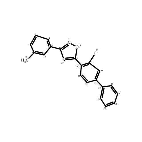 Cc1cccc(-c2noc(-c3ccc(-c4ccccc4)cc3F)n2)c1